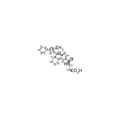 Cc1oc(-c2ccccc2)cc1C(Oc1ccc(C(=O)NCCC(=O)O)cc1)C1CCCCC1